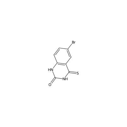 O=c1[nH]c(=S)c2cc(Br)ccc2[nH]1